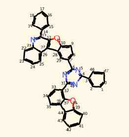 c1ccc(-c2nc(-c3ccc4oc5c(-c6ccccc6)nc6ccccc6c5c4c3)nc(-c3cccc4c3oc3ccccc34)n2)cc1